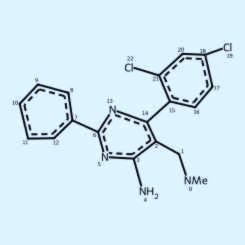 CNCc1c(N)nc(-c2ccccc2)nc1-c1ccc(Cl)cc1Cl